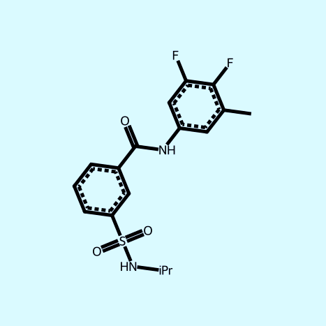 Cc1cc(NC(=O)c2cccc(S(=O)(=O)NC(C)C)c2)cc(F)c1F